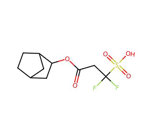 O=C(CC(F)(F)S(=O)(=O)O)OC1CC2CCC1C2